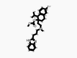 COC(=O)OC1(CCN(C)CCCc2nc3ccccc3[nH]2)CCc2cc(F)ccc2C1C(C)C